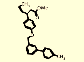 C/C=C\[C@@H](CC(=O)OC)c1ccc(OCc2cccc(-c3ccc(C)cc3)c2)cc1